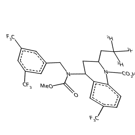 [2H]C([2H])([2H])CC1CC(N(Cc2cc(C(F)(F)F)cc(C(F)(F)F)c2)C(=O)OC)c2cc(C(F)(F)F)ccc2N1C(=O)O